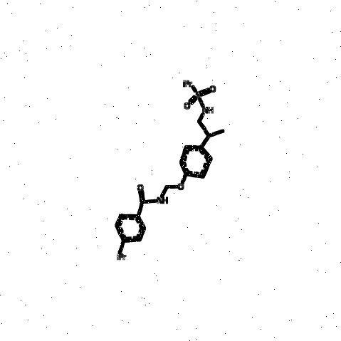 CC(C)c1ccc(C(=O)NCOc2ccc(C(C)CNS(=O)(=O)C(C)C)cc2)cc1